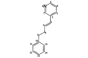 C(=Cc1cccnc1)CCc1ccccc1